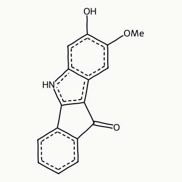 COc1cc2c3c([nH]c2cc1O)-c1ccccc1C3=O